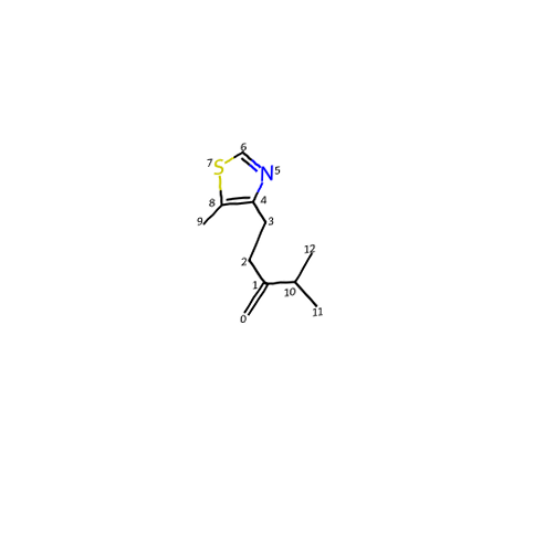 C=C(CCc1ncsc1C)C(C)C